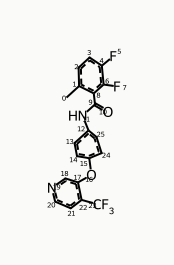 Cc1ccc(F)c(F)c1C(=O)Nc1ccc(Oc2cnccc2C(F)(F)F)cc1